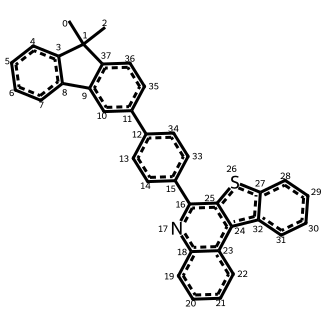 CC1(C)c2ccccc2-c2cc(-c3ccc(-c4nc5ccccc5c5c4sc4ccccc45)cc3)ccc21